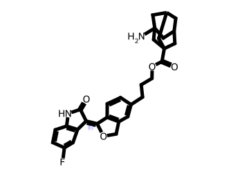 NC12CC3CC(C1)CC(C(=O)OCCCc1ccc4c(c1)CO/C4=C1/C(=O)Nc4ccc(F)cc41)(C3)C2